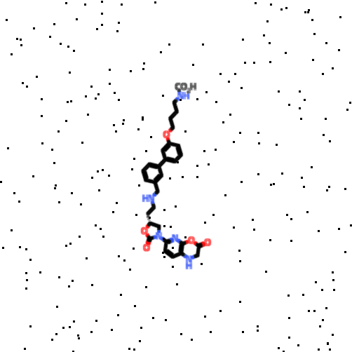 O=C(O)NCCCCOc1cccc(-c2cccc(CNCC[C@@H]3CN(c4ccc5c(n4)OC(=O)CN5)C(=O)O3)c2)c1